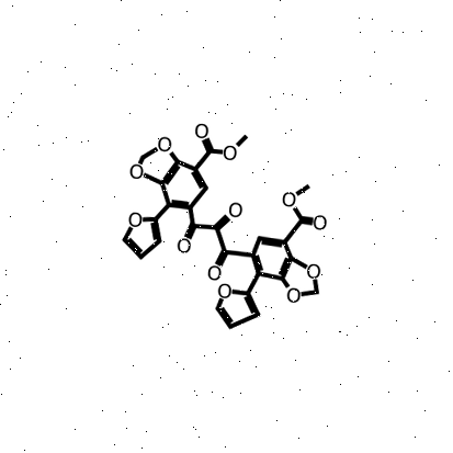 COC(=O)c1cc(C(=O)C(=O)C(=O)c2cc(C(=O)OC)c3c(c2-c2ccco2)OCO3)c(-c2ccco2)c2c1OCO2